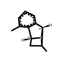 Cc1cccc2c1[C@H]1CC3(C)[C@@H]2N13